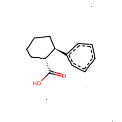 O=C(O)[C@@H]1CCCC[C@H]1c1ccccc1